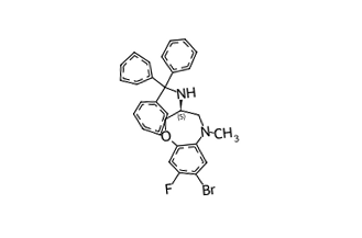 CN1C[C@H](NC(c2ccccc2)(c2ccccc2)c2ccccc2)COc2cc(F)c(Br)cc21